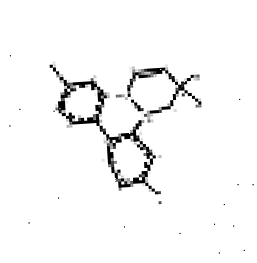 Cc1ccc(-c2ccc(Cl)cc2N2CC(C)(C)C=CO2)cc1